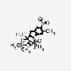 Cc1cc2c(cc1[N+](=O)[O-])cc(C(C)(C)O[Si](C)(C)C)n2S(C)(=O)=O